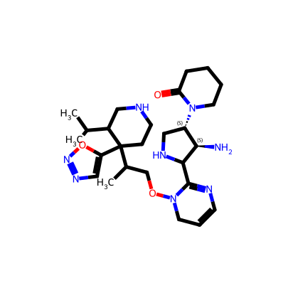 CC(C)C1CNCCC1(c1cnno1)C(C)CON1CC=CN=C1C1NC[C@H](N2CCCCC2=O)[C@H]1N